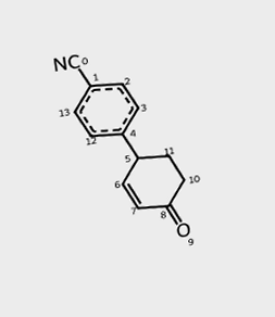 N#Cc1ccc(C2C=CC(=O)CC2)cc1